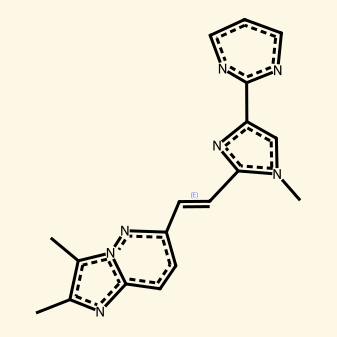 Cc1nc2ccc(/C=C/c3nc(-c4ncccn4)cn3C)nn2c1C